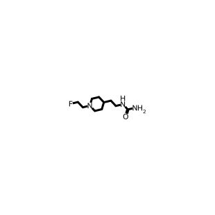 NC(=O)NCCC1CCN(CCF)CC1